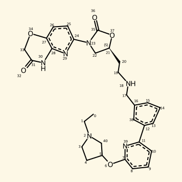 CCN1CCC(Oc2cccc(-c3cccc(CNCC[C@H]4CN(c5ccc6c(n5)NC(=O)CO6)C(=O)O4)c3)n2)C1